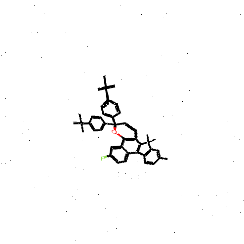 Cc1ccc2c(c1)C(C)(C)c1c3c(c4cc(F)ccc4c1-2)OC(c1ccc(C(C)(C)C)cc1)(c1ccc(C(C)(C)C)cc1)C=C3